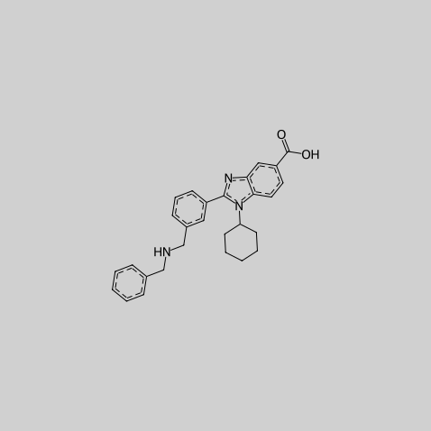 O=C(O)c1ccc2c(c1)nc(-c1cccc(CNCc3ccccc3)c1)n2C1CCCCC1